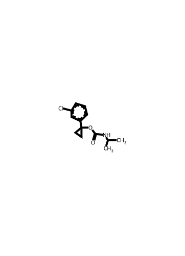 CC(C)NC(=O)OC1(c2cccc(Cl)c2)CC1